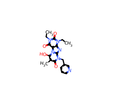 CCn1c(=O)c2c(nc3n(Cc4cccnc4)c(=O)c(C)c(O)n23)n(CC)c1=O